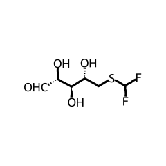 O=C[C@H](O)[C@H](O)[C@H](O)CSC(F)F